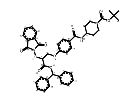 CC(C)(C)OC(=O)N1CCC(NC(=O)c2ccc(OCC(ON3C(=O)c4ccccc4C3=O)C(=O)OC(c3ccccc3)c3ccccc3)cc2)CC1